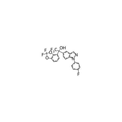 OC(c1ccc2c(cnn2-c2ccc(F)cc2)c1)(c1cccc2c1OC(F)(F)O2)C(F)(F)F